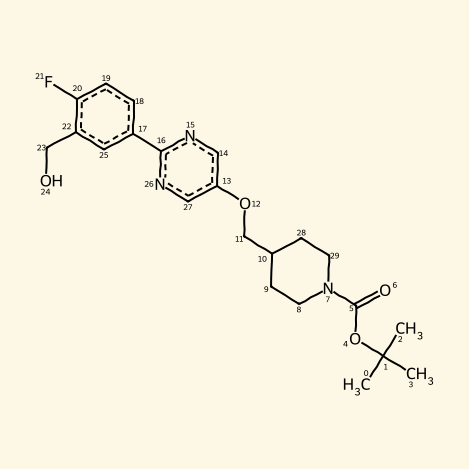 CC(C)(C)OC(=O)N1CCC(COc2cnc(-c3ccc(F)c(CO)c3)nc2)CC1